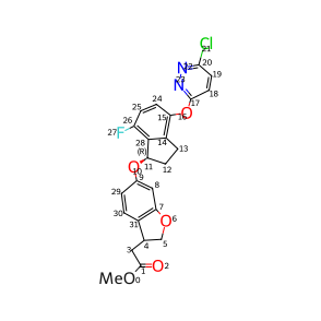 COC(=O)CC1COc2cc(O[C@@H]3CCc4c(Oc5ccc(Cl)nn5)ccc(F)c43)ccc21